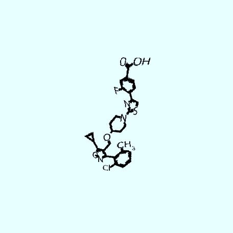 Cc1cccc(Cl)c1-c1noc(C2CC2)c1COC1CCN(c2nc(-c3ccc(C(=O)O)cc3F)cs2)CC1